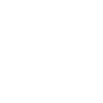 CCC1CCC(C=O)C1